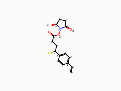 C=Cc1ccc(C(S)CCC(=O)ON2C(=O)CCC2=O)cc1